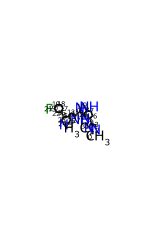 Cc1ncc(-c2ccc3[nH]nc(-c4cc5c(-c6cccc(F)c6)cncc5[nH]4)c3n2)n1C